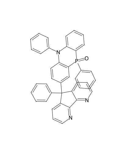 O=P1(c2ccccc2)c2ccccc2N(c2ccccc2)c2ccc(C3(c4ccccc4)c4cccnc4-c4ncccc43)cc21